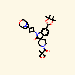 CC1(C(=O)N2CCC3(CC2)C(=O)N([C@H]2C[C@@H](N4C5CCC4COC5)C2)c2cc(B4OC(C)(C)C(C)(C)O4)ccc23)COC1